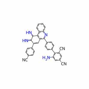 N#Cc1ccc(C2=Cc3c(-c4ccc(-c5c(N)cc(C#N)cc5C#N)cc4)nc4ccccc4c3C(=N)C2=N)cc1